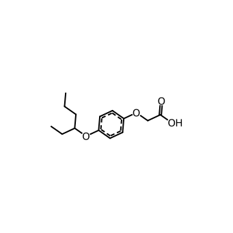 CCCC(CC)Oc1ccc(OCC(=O)O)cc1